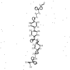 C=COC(=O)CCCOc1ccc(-c2ccc(C(=O)Sc3ccc(OCCOC(=O)C(=C)C)cc3)cc2)cc1